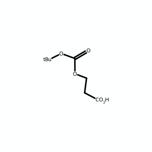 CC(C)(C)OC(=O)OCCC(=O)O